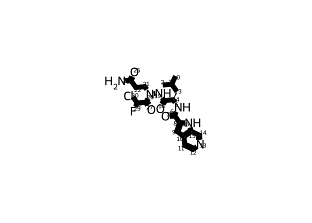 CC(C)C[C@H](NC(=O)c1cc2ccncc2[nH]1)C(=O)NN(CCC(N)=O)C(=O)C(F)Cl